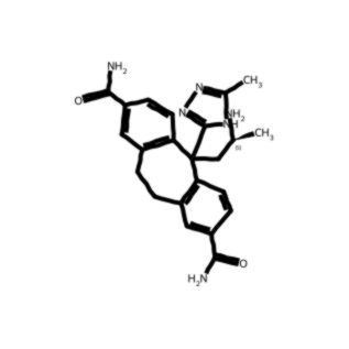 Cc1nnc(C2(C[C@H](C)N)c3ccc(C(N)=O)cc3CCc3cc(C(N)=O)ccc32)[nH]1